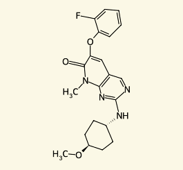 CO[C@H]1CC[C@H](Nc2ncc3cc(Oc4ccccc4F)c(=O)n(C)c3n2)CC1